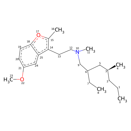 CCC[C@H](C)CC(CC)CN(C)CCc1c(C)oc2ccc(OC)cc12